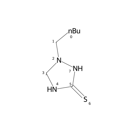 CCCCCN1[CH]NC(=S)N1